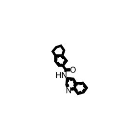 O=C(Nc1cnc2ccccc2c1)c1ccc2c(c1)CCCC2